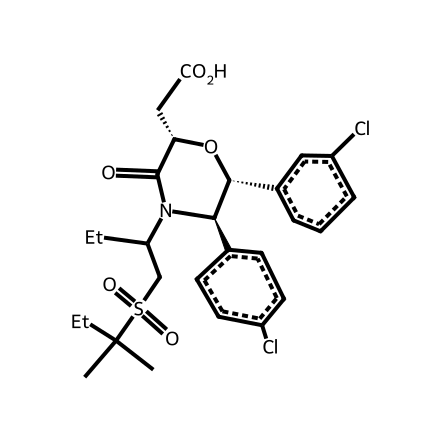 CCC(CS(=O)(=O)C(C)(C)CC)N1C(=O)[C@H](CC(=O)O)O[C@H](c2cccc(Cl)c2)[C@H]1c1ccc(Cl)cc1